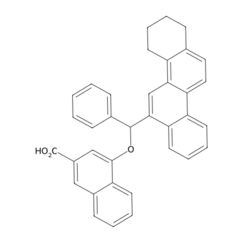 O=C(O)c1cc(OC(c2ccccc2)c2cc3c4c(ccc3c3ccccc23)CCCC4)c2ccccc2c1